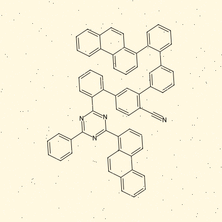 N#Cc1ccc(-c2ccccc2-c2nc(-c3ccccc3)nc(-c3cccc4c3ccc3ccccc34)n2)cc1-c1cccc(-c2ccccc2-c2cccc3c2ccc2ccccc23)c1